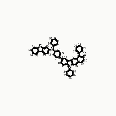 c1ccc(N(c2ccc(-c3ccc4c(c3)c3cc5c(ccc6oc7ccccc7c65)cc3n4-c3ccccc3)cc2)c2ccc3c(c2)sc2ccccc23)cc1